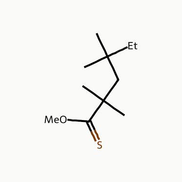 CCC(C)(C)CC(C)(C)C(=S)OC